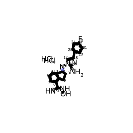 Cl.Cl.N=C(NO)c1cccc2c1CC/C2=N\n1cc(-c2ccc(F)cc2)nc1N